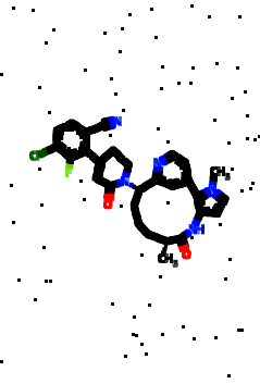 C[C@@H]1CCC[C@H](N2CCC(c3c(C#N)ccc(Cl)c3F)=CC2=O)c2cc(ccn2)-c2c(ccn2C)NC1=O